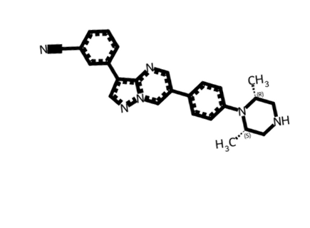 C[C@@H]1CNC[C@H](C)N1c1ccc(-c2cnc3c(-c4cccc(C#N)c4)cnn3c2)cc1